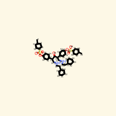 Cc1ccc(S(=O)(=O)Oc2ccc(C(CNCCc3ccccc3)C(=O)C(CNCCc3ccccc3)c3ccc(OS(=O)(=O)c4ccc(C)cc4)cc3)cc2)cc1